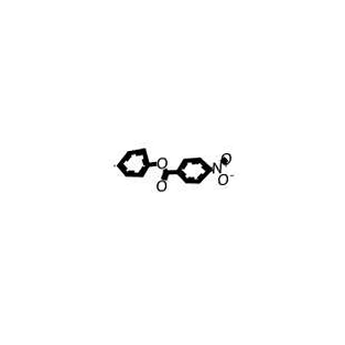 O=C(Oc1cc[c]cc1)c1ccc([N+](=O)[O-])cc1